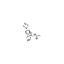 C=CC(=O)OCC(=O)C1(c2ccc(C3CCC(C)CC3)cc2)CCC(C)CC1